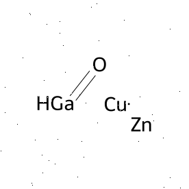 [Cu].[O]=[GaH].[Zn]